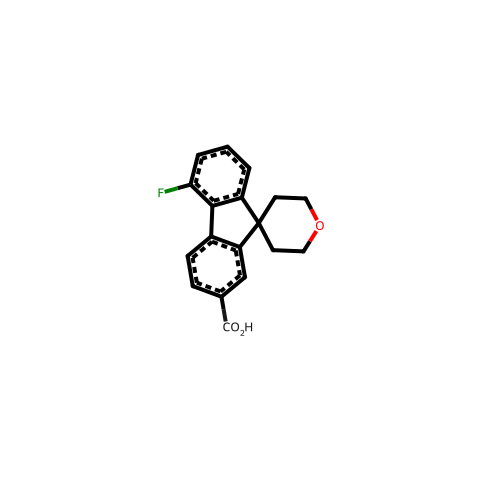 O=C(O)c1ccc2c(c1)C1(CCOCC1)c1cccc(F)c1-2